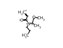 C=CC(=O)N(CCC)C(C)OC